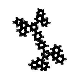 c1ccc2c(c1)cc(-c1cc(-c3cc4ccccc4c4ccccc34)nc(-c3ccc(-c4ccc(-c5nc(-c6cc7ccccc7c7ccccc67)cc(-c6cc7ccccc7c7ccccc67)n5)cc4)cc3)n1)c1ccccc12